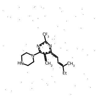 C=c1c(N2CCNCC2)nc(C(F)(F)F)n/c1=C/C=C(\C)CC